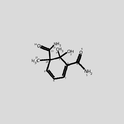 CC1(O)C(C(N)=O)=CC=CC1(C)C(N)=O